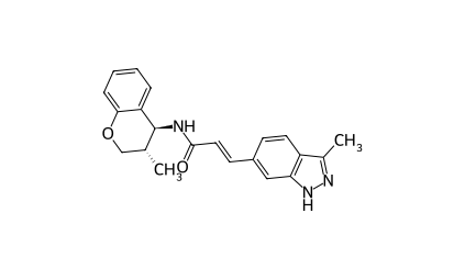 Cc1n[nH]c2cc(/C=C/C(=O)N[C@@H]3c4ccccc4OC[C@H]3C)ccc12